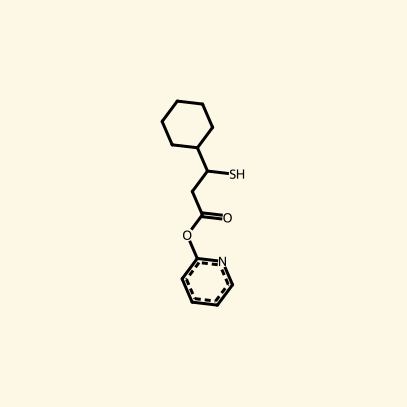 O=C(CC(S)C1CCCCC1)Oc1ccccn1